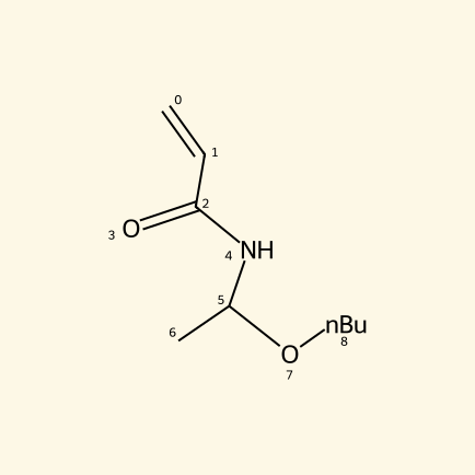 C=CC(=O)NC(C)OCCCC